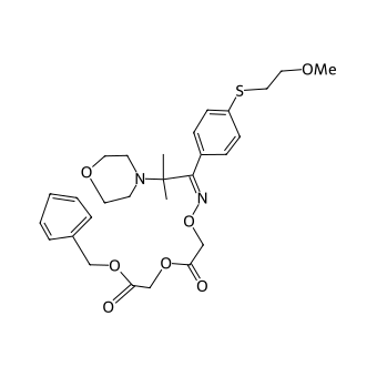 COCCSc1ccc(C(=NOCC(=O)OCC(=O)OCc2ccccc2)C(C)(C)N2CCOCC2)cc1